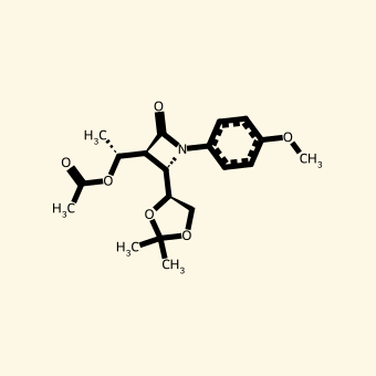 COc1ccc(N2C(=O)[C@H]([C@@H](C)OC(C)=O)[C@H]2[C@H]2COC(C)(C)O2)cc1